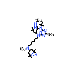 CC(C)(C)CC(C)(C)N1c2nc(nc(C(C)(C)C)n2)N(CCCCCCN(C2CC(C)(C)NC(C)(C)C2)C(C)(C)C)C2CC(C)(C)NC1(C)C2